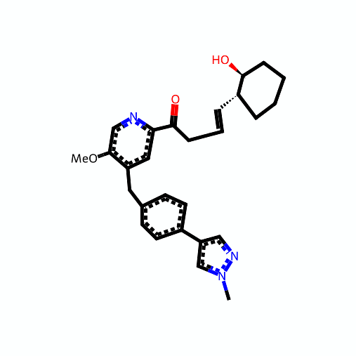 COc1cnc(C(=O)C/C=C/[C@H]2CCCC[C@@H]2O)cc1Cc1ccc(-c2cnn(C)c2)cc1